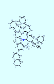 Cc1cc(-c2ccc3ccccc3c2)cc(C)c1N(c1ccc2c(c1)C(C)(C)c1ccccc1-2)c1ccc2c(c1)C(c1ccccc1)(c1ccccc1)c1ccccc1-2